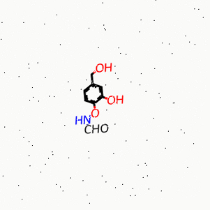 O=CNOc1ccc(CO)cc1O